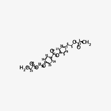 C=CC(=O)OCCc1ccc(OC(=O)c2ccc(OCOC(=O)C=C)cc2)cc1